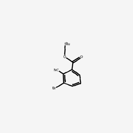 CC(C)(C)OC(=O)c1cccc(Br)c1C#N